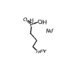 CCCCCC[PH](=O)O.[Nd]